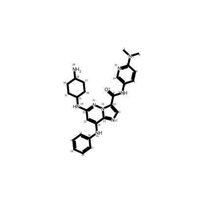 CN(C)c1ccc(NC(=O)c2cnc3c(Nc4ccccc4)cc(NC4CCC(N)CC4)nn23)cn1